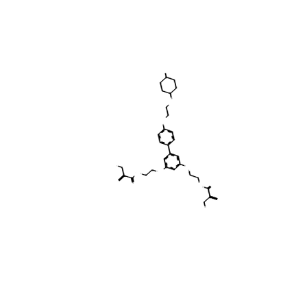 C=C(CO)C(=O)OCCOc1cc(OCCOC(=O)C(=C)CO)cc(-c2ccc(OCCOC3CCC(CCCCC)CC3)cc2)c1